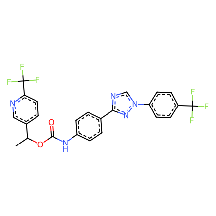 CC(OC(=O)Nc1ccc(-c2ncn(-c3ccc(C(F)(F)F)cc3)n2)cc1)c1ccc(C(F)(F)F)nc1